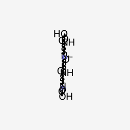 O=C(NCCSCSCC/N=C/[S+]([O-])CSCSCSC(=O)NCCSCSCC/N=C/OOCCO)OCCO